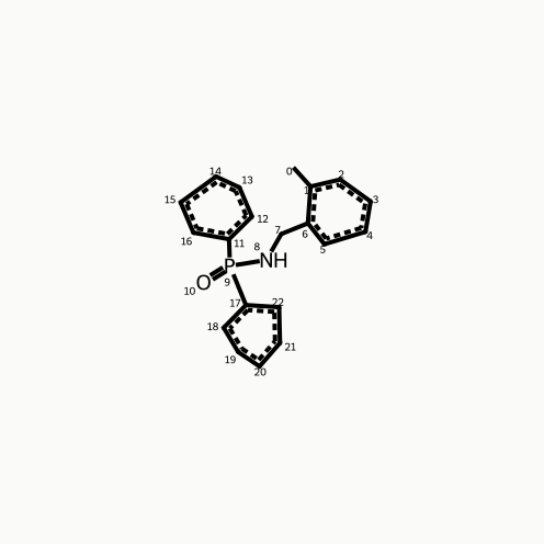 Cc1ccccc1CNP(=O)(c1ccccc1)c1ccccc1